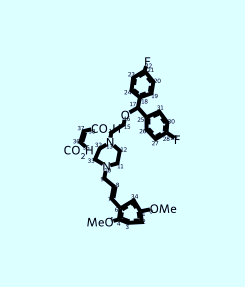 COc1ccc(OC)c(/C=C/CN2CCN(CCOC(c3ccc(F)cc3)c3ccc(F)cc3)CC2)c1.O=C(O)/C=C\C(=O)O